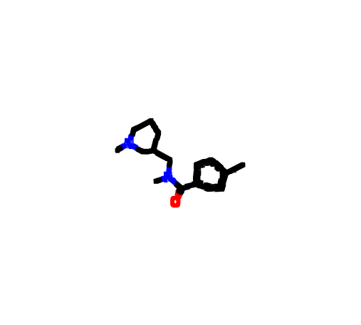 Cc1ccc(C(=O)N(C)CC2CCCN(C)C2)cc1